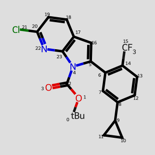 CC(C)(C)OC(=O)n1c(-c2cc(C3CC3)ccc2C(F)(F)F)cc2ccc(Cl)nc21